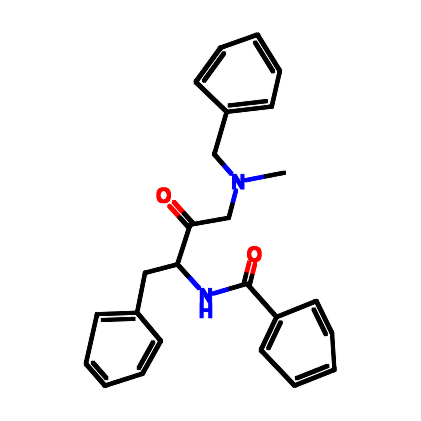 CN(CC(=O)C(Cc1ccccc1)NC(=O)c1ccccc1)Cc1ccccc1